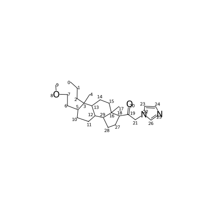 CCCC1(C)C(CCOC)CCC2C1CCC1(C)C(C(=O)Cn3ccnc3)CCC21